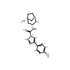 O=C(N[C@@H]1C[C@H]2CCN(C2)C1)n1cc(-c2ccc(Cl)cc2)cn1